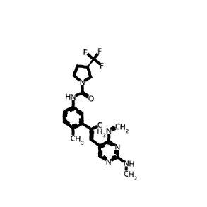 C=Nc1nc(NC)ncc1/C=C(\C)c1cc(NC(=O)N2CC[C@@H](C(F)(F)F)C2)ccc1C